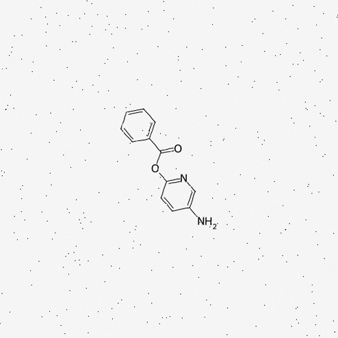 Nc1ccc(OC(=O)c2ccccc2)nc1